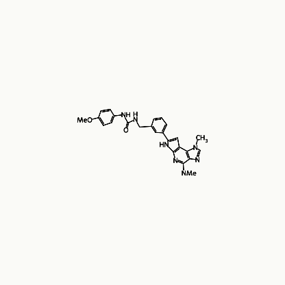 CNc1nc2[nH]c(-c3cccc(CNC(=O)Nc4ccc(OC)cc4)c3)cc2c2c1ncn2C